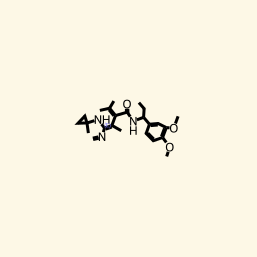 C=N/C(NC1(C)CC1)=C(\C)C(C(=O)NC(CC)c1ccc(OC)c(OC)c1)=C(C)C